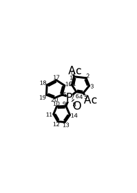 CC(=O)c1ccc(C(C)=O)c(P(=O)(c2ccccc2)c2ccccc2)c1